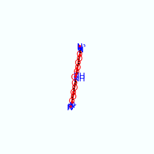 [N-]=[N+]=NCCOCCOCCOCCOCCOCCNC(=O)NCCOCCOCCOCCOCCOCCN=[N+]=[N-]